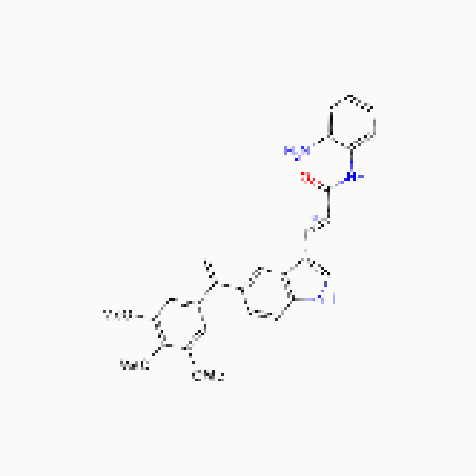 C=C(c1cc(OC)c(OC)c(OC)c1)c1ccc2[nH]cc(/C=C/C(=O)Nc3ccccc3N)c2c1